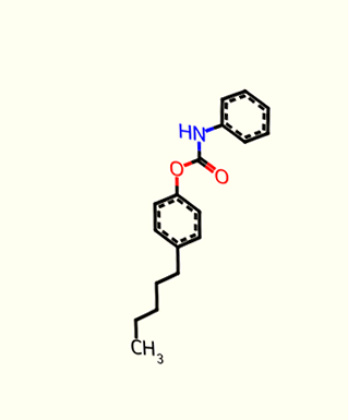 CCCCCc1ccc(OC(=O)Nc2ccccc2)cc1